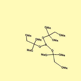 COCC(OC)(OC)OB(OC(COC)(OC)OC)OC(COC)(OC)OC